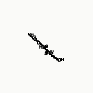 NCCCOCCOCCCNC(=O)CCC(=O)NCCCCCCCO